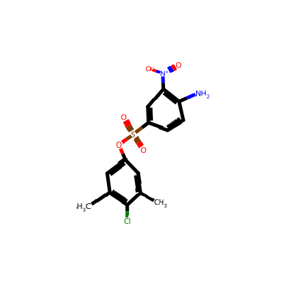 Cc1cc(OS(=O)(=O)c2ccc(N)c([N+](=O)[O-])c2)cc(C)c1Cl